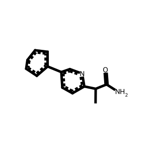 CC(C(N)=O)c1ccc(-c2ccccc2)cn1